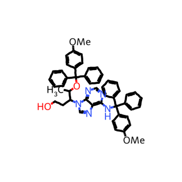 COc1ccc(C(Nc2ncnc3c2ncn3C(CCO)C(C)OC(c2ccccc2)(c2ccccc2)c2ccc(OC)cc2)(c2ccccc2)c2ccccc2)cc1